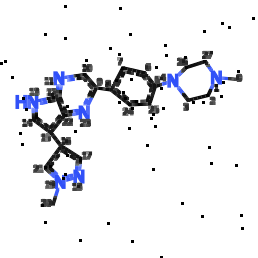 CN1CCN(c2ccc(-c3cnc4[nH]cc(-c5cnn(C)c5)c4n3)cc2)CC1